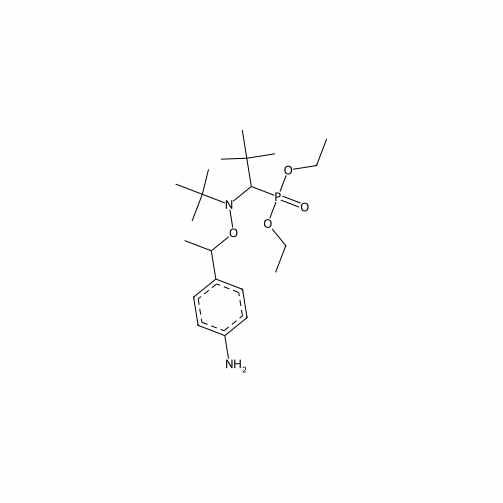 CCOP(=O)(OCC)C(N(OC(C)c1ccc(N)cc1)C(C)(C)C)C(C)(C)C